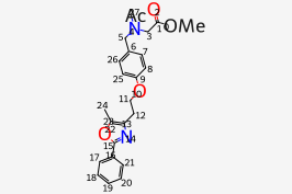 COC(=O)CN(Cc1ccc(OCCc2nc(-c3ccccc3)oc2C)cc1)C(C)=O